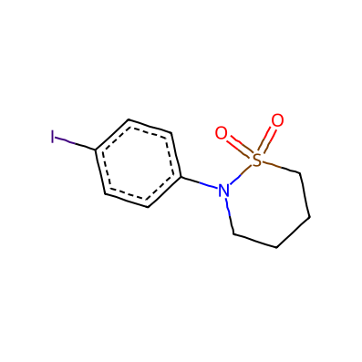 O=S1(=O)CCCCN1c1ccc(I)cc1